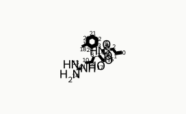 C=CCS(=O)(=O)N[C@@H](CCCNC(=N)N)C(=O)O.Cc1ccccc1